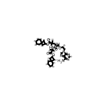 C[C@H](Cn1cnc2c(N)ncnc21)OCP(=O)(NC(C)(C)C(=O)OC1CC2(CCCCC2)C1)NC(C)(C)C(=O)OC1CC2(CCCCC2)C1